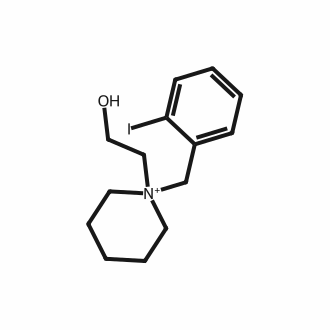 OCC[N+]1(Cc2ccccc2I)CCCCC1